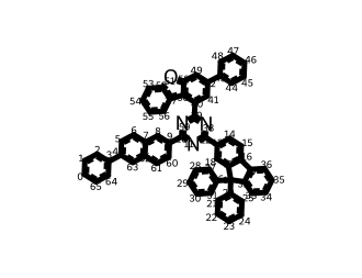 c1ccc(-c2ccc3cc(-c4nc(-c5ccc6c(c5)C(c5ccccc5)(c5ccccc5)c5ccccc5-6)nc(-c5cc(-c6ccccc6)cc6oc7ccccc7c56)n4)ccc3c2)cc1